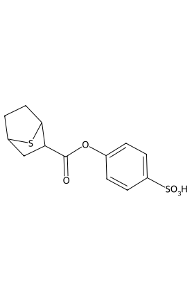 O=C(Oc1ccc(S(=O)(=O)O)cc1)C1CC2CCC1S2